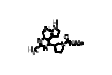 CNC(=O)N1CCCC(c2nc(C)nc3cnc4[nH]ccc4c23)C1